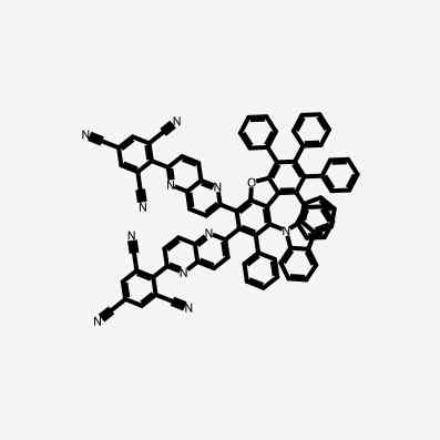 N#Cc1cc(C#N)c(-c2ccc3nc(-c4c(-c5ccccc5)c(-n5c6ccccc6c6ccccc65)c5c(oc6c(-c7ccccc7)c(-c7ccccc7)c(-c7ccccc7)c(-c7ccccc7)c65)c4-c4ccc5nc(-c6c(C#N)cc(C#N)cc6C#N)ccc5n4)ccc3n2)c(C#N)c1